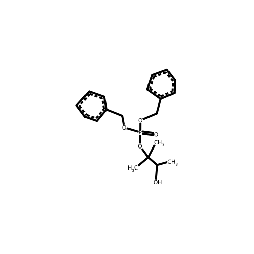 CC(O)C(C)(C)OP(=O)(OCc1ccccc1)OCc1ccccc1